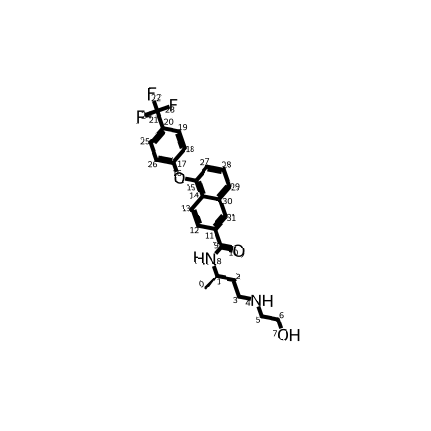 C[C@H](CCNCCO)NC(=O)c1ccc2c(Oc3ccc(C(F)(F)F)cc3)cccc2c1